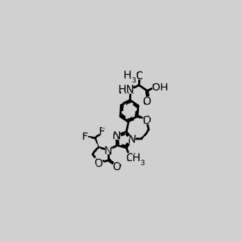 Cc1c(N2C(=O)OC[C@H]2C(F)F)nc2n1CCOc1cc(NC(C)C(=O)O)ccc1-2